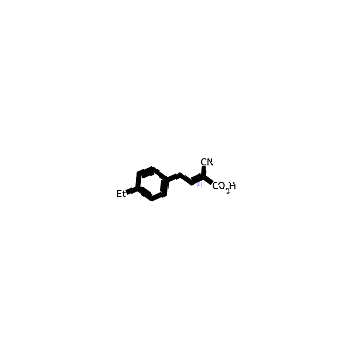 CCc1ccc(C/C=C(\C#N)C(=O)O)cc1